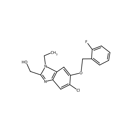 CCn1c(CO)nc2cc(Cl)c(OCc3ccccc3F)cc21